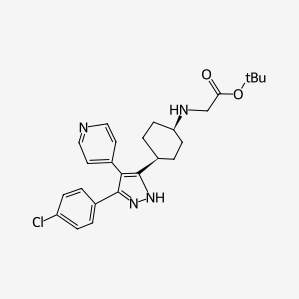 CC(C)(C)OC(=O)CN[C@H]1CC[C@@H](c2[nH]nc(-c3ccc(Cl)cc3)c2-c2ccncc2)CC1